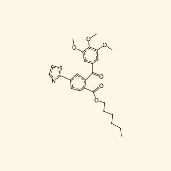 CCCCCCOC(=O)c1ccc(-c2nccs2)cc1C(=O)c1cc(OC)c(OC)c(OC)c1